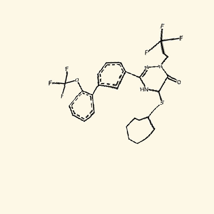 O=C1C(SC2CCCCC2)NC(c2cccc(-c3ccccc3OC(F)(F)F)c2)=NN1CC(F)(F)F